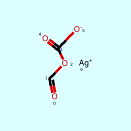 O=COC(=O)[O-].[Ag+]